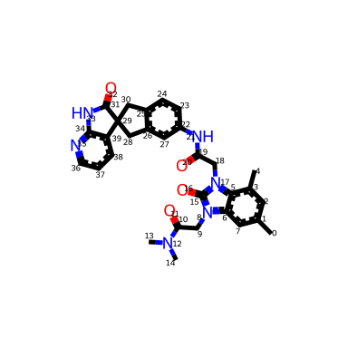 Cc1cc(C)c2c(c1)n(CC(=O)N(C)C)c(=O)n2CC(=O)Nc1ccc2c(c1)CC1(C2)C(=O)Nc2ncccc21